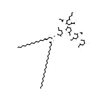 CCCCCCCCCCCCC/C=C/[C@@H](O)[C@H](CO[C@@H]1OC(CO)[C@@H](O[C@@H]2OC(CO)[C@H](O[C@@H]3OC(CO)[C@H](O)[C@H](O[C@@H]4OC(CO)[C@H](O)[C@H](O)C4O)C3NC(C)=O)[C@H](O[C@]3(C(=O)O)CC(O)[C@@H](NC(=O)CO)C([C@H](O)[C@H](O)CO)O3)C2O)[C@H](O)C1O)NC(=O)CCCCCCCCCCCCCCCCCCCCC